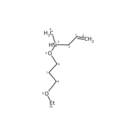 C=CC[SiH](C)OCCCOCC